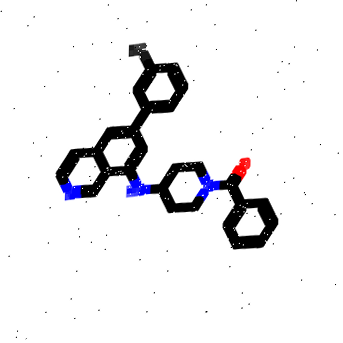 N#Cc1cccc(C2=CC3C=CN=CC3C(NC3CCN(C(=O)c4ccccc4)CC3)=C2)c1